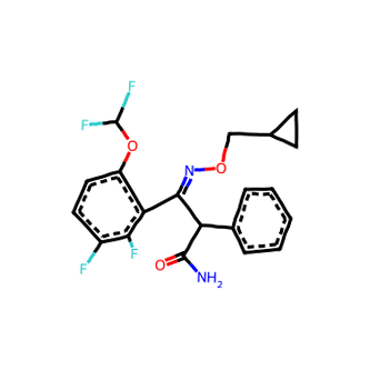 NC(=O)C(C(=NOCC1CC1)c1c(OC(F)F)ccc(F)c1F)c1ccccc1